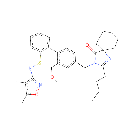 CCCCC1=NC2(CCCCC2)C(=O)N1Cc1ccc(-c2ccccc2SNc2noc(C)c2C)c(COC)c1